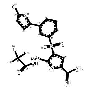 CSc1sc(C(=N)N)cc1S(=O)(=O)c1cccc(-c2ccc(Cl)s2)c1.O=C(O)C(F)(F)F